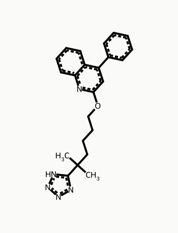 CC(C)(CCCCOc1cc(-c2ccccc2)c2ccccc2n1)c1nnn[nH]1